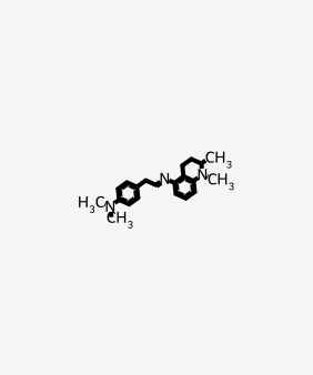 CC1CCc2c(/N=C/Cc3ccc(N(C)C)cc3)cccc2N1C